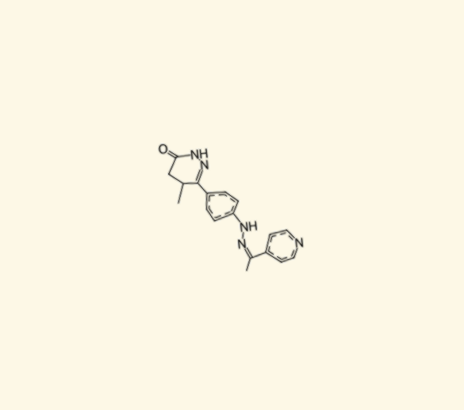 CC(=NNc1ccc(C2=NNC(=O)CC2C)cc1)c1ccncc1